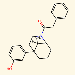 C[C@H]1C2CCCC1(c1cccc(O)c1)CCN2C(=O)Cc1ccccc1